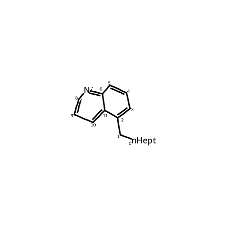 CCCCCCCCc1cccc2n[c]ccc12